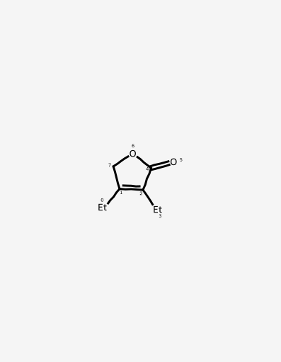 CCC1=C(CC)C(=O)OC1